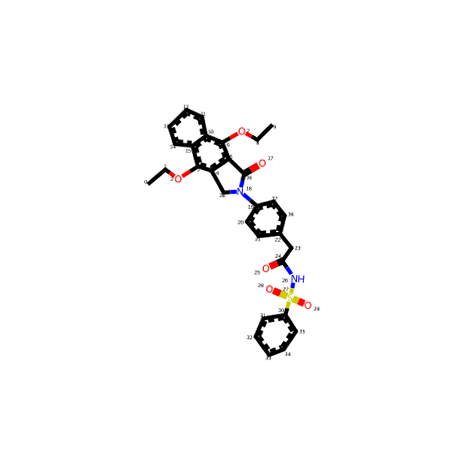 CCOc1c2c(c(OCC)c3ccccc13)C(=O)N(c1ccc(CC(=O)NS(=O)(=O)c3ccccc3)cc1)C2